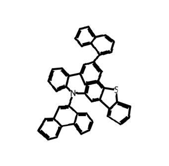 c1cc(-c2ccccc2N(c2ccc3sc4ccccc4c3c2)c2cc3ccccc3c3ccccc23)cc(-c2cccc3ccccc23)c1